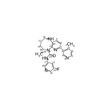 Cc1ccncc1-c1ccc2c(n1)N(C(=O)Nc1cncc(F)c1)[C@H](C)CCCN2